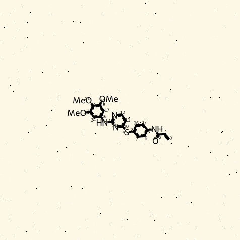 C=CC(=O)Nc1ccc(Sc2ccnc(Nc3cc(OC)c(OC)c(OC)c3)n2)cc1